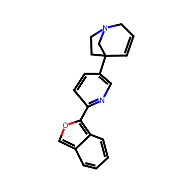 C1=CC2(c3ccc(-c4occ5ccccc45)nc3)CCN(C1)C2